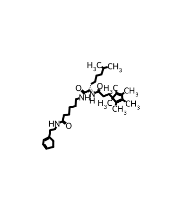 CC1=C(C)C(C)(CCC(=O)N[C@@H](CCCCC(C)C)C(=O)NCCCCCC(=O)NCCC2=CC=CCC2)C(C)=C1C